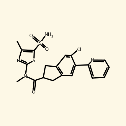 Cc1nc(N(C)C(=O)C2Cc3cc(Cl)c(-c4ccccn4)cc3C2)sc1S(N)(=O)=O